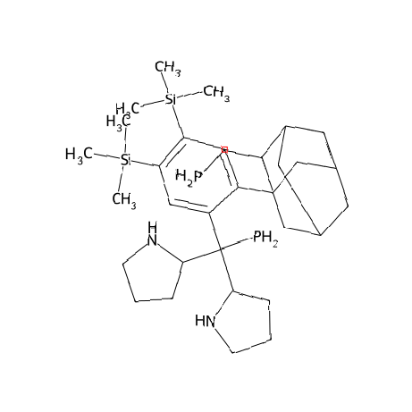 C[Si](C)(C)c1cc(C23CC4CC(CC(C4)C2CP)C3)c(C(P)(C2CCCN2)C2CCCN2)cc1[Si](C)(C)C